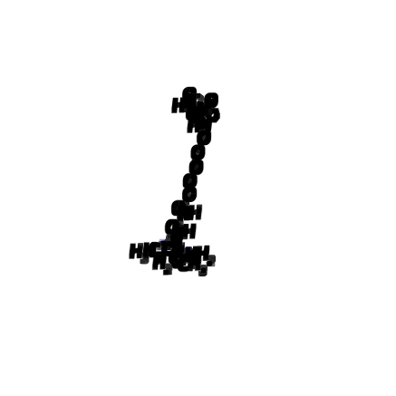 C=C(C)/C(N)=C\N(C)[C@H]1N2C(NC(=O)CCNC(=O)CCOCCOCCOCCOCCOCCNc3cccc4c3C(=O)N(C3CCC(=O)NC3=O)C4=O)=C/C(=C/CC)C12C